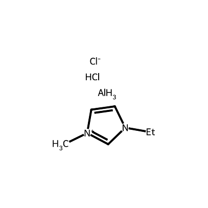 CCn1cc[n+](C)c1.Cl.[AlH3].[Cl-]